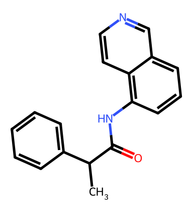 CC(C(=O)Nc1cccc2cnccc12)c1ccccc1